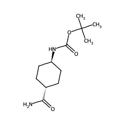 CC(C)(C)OC(=O)N[C@H]1CC[C@H](C(N)=O)CC1